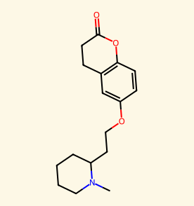 CN1CCCCC1CCOc1ccc2c(c1)CCC(=O)O2